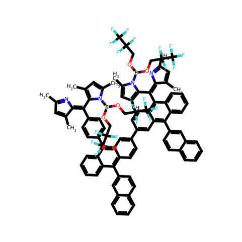 CC1=CC(C)=N/C1=C(/c1ccc(-c2c3ccccc3c(-c3ccc4ccccc4c3)c3ccc(-c4ccc5c(/C(=C6/N=C(C)C=C6C)c6c(C)cc(C)n6B(OCC(F)(F)C(F)(F)F)OCC(F)(F)C(F)(F)F)c6ccccc6c(-c6ccc7ccccc7c6)c5c4)cc23)cc1)c1c(C)cc(C)n1B(OCC(F)(F)C(F)(F)F)OCC(F)(F)C(F)(F)F